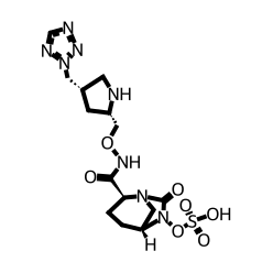 O=C(NOC[C@@H]1C[C@H](Cn2ncnn2)CN1)[C@@H]1CC[C@@H]2CN1C(=O)N2OS(=O)(=O)O